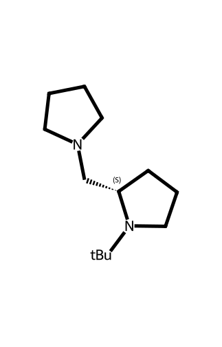 CC(C)(C)N1CCC[C@H]1CN1CCCC1